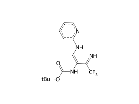 CC(C)(C)OC(=O)N/C(=C/Nc1ccccn1)C(=N)C(F)(F)F